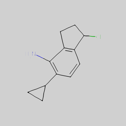 Nc1c(C2CC2)ccc2c1CCC2Cl